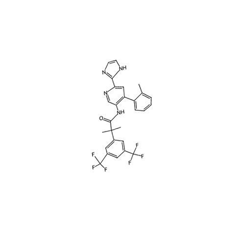 Cc1ccccc1-c1cc(-c2ncc[nH]2)ncc1NC(=O)C(C)(C)c1cc(C(F)(F)F)cc(C(F)(F)F)c1